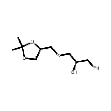 CC1(C)OCC(CSCC(O)CO)O1